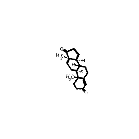 C[C@]12CCC(=O)C=C1CC[C@H]1[C@@H]3CCC(=O)[C@@]3(C)CC[C@@]12F